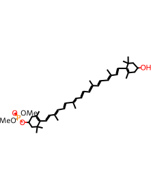 COP(=O)(OC)OC1CC(C)=C(/C=C/C(C)=C/C=C/C(C)=C/C=C/C=C(C)/C=C/C=C(C)/C=C/C2=C(C)CC(O)CC2(C)C)C(C)(C)C1